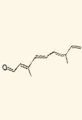 C=C/C(C)=C/C=C/C(C)=C/C=O